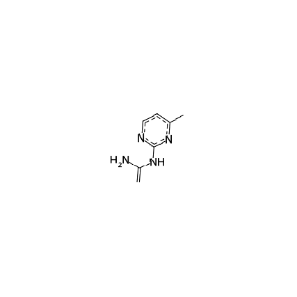 C=C(N)Nc1nccc(C)n1